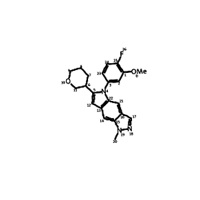 COc1cc(-n2c(C3CCCOC3)cc3cc4c(cnn4C)cc32)ccc1F